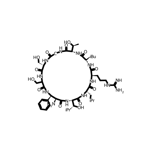 CC[C@H](C)[C@@H]1NC(=O)[C@@H](CCCNC(=N)N)NC(=O)[C@H](CC(C)C)NC(=O)[C@H]([C@H](O)C(C)C)NC(=O)[C@@H](N)[C@@H](c2ccccc2)NC(=O)C(CO)NC(=O)[C@H](CO)NC(=O)CNC(=O)[C@H]([C@H](C)O)NC1=O